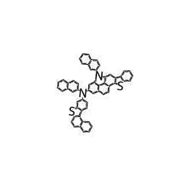 c1ccc2cc(N(c3ccc4c(c3)sc3ccc5ccccc5c34)c3cc4ccc5c6sc7ccccc7c6cc6c5c4c(c3)n6-c3ccc4ccccc4c3)ccc2c1